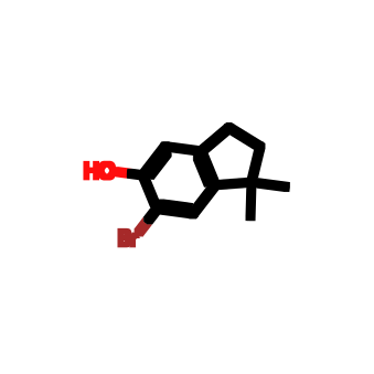 CC1(C)CCc2cc(O)c(Br)cc21